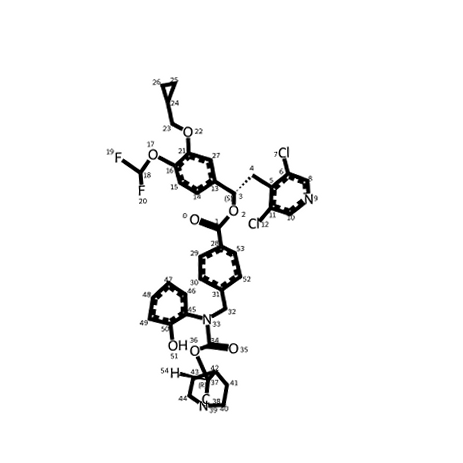 O=C(O[C@@H](Cc1c(Cl)cncc1Cl)c1ccc(OC(F)F)c(OCC2CC2)c1)c1ccc(CN(C(=O)O[C@H]2CN3CCC2CC3)c2ccccc2O)cc1